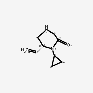 C=C[C@@H]1CNCC(=O)N1C1CC1